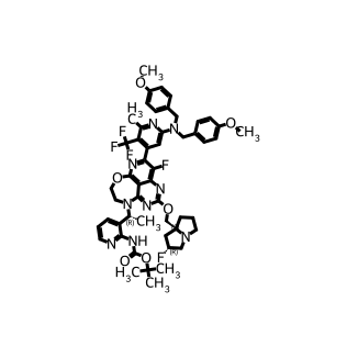 COc1ccc(CN(Cc2ccc(OC)cc2)c2cc(-c3nc4c5c(nc(OC[C@@]67CCCN6C[C@H](F)C7)nc5c3F)N([C@H](C)c3cccnc3NC(=O)OC(C)(C)C)CCO4)c(C(F)(F)F)c(C)n2)cc1